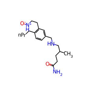 CCCC1c2ccc(CNCC(C)CCC(N)=O)cc2CC[NH+]1[O-]